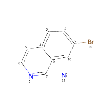 Brc1ccc2ccncc2c1.[N]